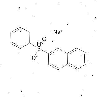 O=[SH]([O-])(c1ccccc1)c1ccc2ccccc2c1.[Na+]